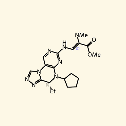 CC[C@@H]1c2nncn2-c2cnc(N/C=C(\NC)C(=O)OC)nc2N1C1CCCC1